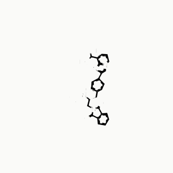 CC(O)c1cccn2cc(-c3ccc(C[C@@H](CN4C(=O)c5ccccc5C4=O)N(C(=O)O)C(C)(C)C)cc3)nc12